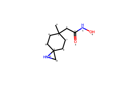 CC1(CC(=O)NO)CCC2(CC1)CN2